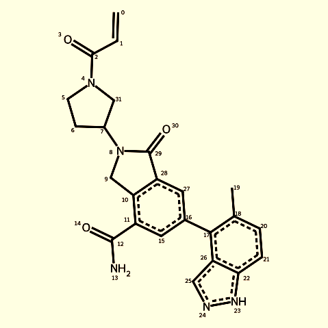 C=CC(=O)N1CCC(N2Cc3c(C(N)=O)cc(-c4c(C)ccc5[nH]ncc45)cc3C2=O)C1